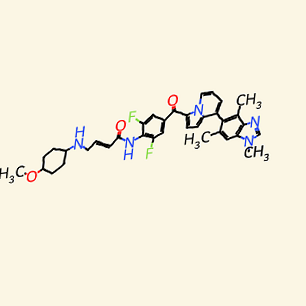 COC1CCC(NC/C=C/C(=O)Nc2c(F)cc(C(=O)c3ccc4c(-c5c(C)cc6c(ncn6C)c5C)cccn34)cc2F)CC1